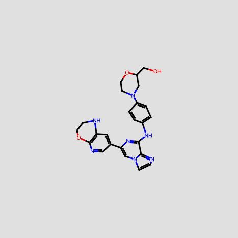 OCC1CN(c2ccc(Nc3nc(-c4cnc5c(c4)NCCO5)cn4ccnc34)cc2)CCO1